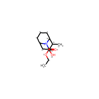 CCOC(=O)N1C2CCCC1C(C)C(O)C2